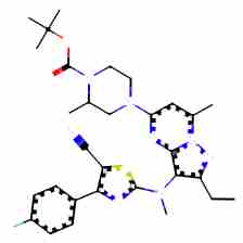 CCc1nn2c(C)cc(N3CCN(C(=O)OC(C)(C)C)C(C)C3)nc2c1N(C)c1nc(-c2ccc(F)cc2)c(C#N)s1